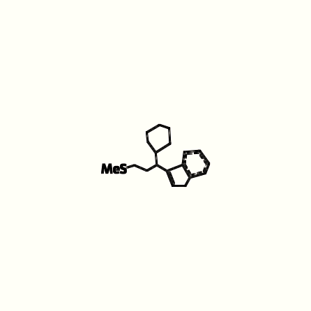 CSCCC(C1=CCc2ccccc21)C1CCCCC1